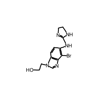 OCCn1cnc2c(Br)c(NC3=NCCN3)ccc21